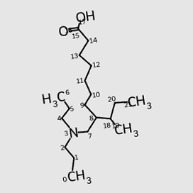 CCCN(CCC)CC(CCCCCCC(=O)O)C(C)CC